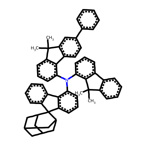 CC1(C)c2cc(-c3ccccc3)ccc2-c2c(N(c3cccc4c3-c3ccccc3C43C4CC5CC(C4)CC3C5)c3cccc4c3C(C)(C)c3ccccc3-4)cccc21